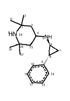 CC1(C)CC(N[C@H]2C[C@@H]2c2ccccc2)CC(C)(C)N1